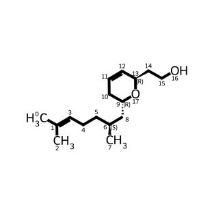 CC(C)=CCC[C@H](C)C[C@@H]1CC=C[C@@H](CCO)O1